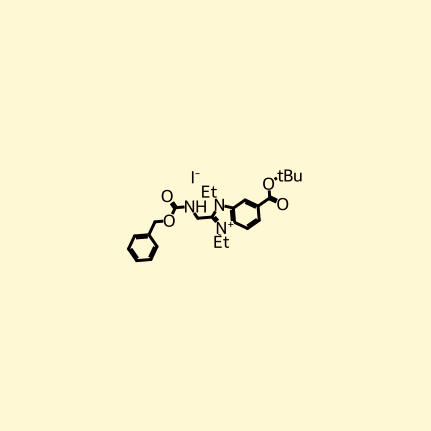 CCn1c(CNC(=O)OCc2ccccc2)[n+](CC)c2ccc(C(=O)OC(C)(C)C)cc21.[I-]